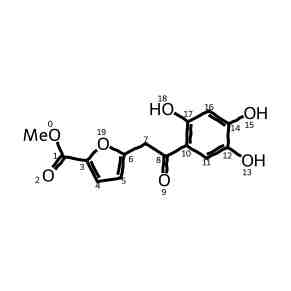 COC(=O)c1ccc(CC(=O)c2cc(O)c(O)cc2O)o1